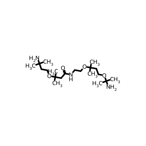 CC(C)(N)CCOC(C)(C)CC(=O)NCCOC(C)(C)CCOC(C)(C)N